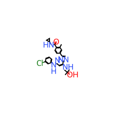 Cc1cc(-c2cnc3c(NCC(C)(C)O)cc(Nc4cccc(Cl)c4)nn23)ccc1C(=O)NC1CC1